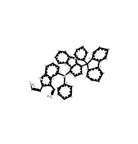 C=Cc1c(/C=C\C)sc2cccc(N(c3ccccc3)c3ccc(C4(c5ccccc5)c5ccccc5-c5ccccc54)c4oc5ccccc5c34)c12